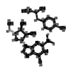 CN(C)c1nc2c(ncn2[C@@H]2O[C@H](CO)[C@@H](O)[C@H]2O)c(=O)[nH]1.O=C(O)C(O)Cc1ccc(O)cc1